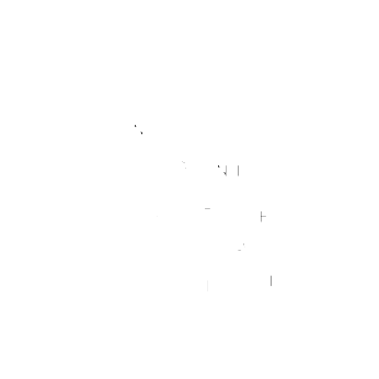 CN1CCCC1=N.F[B-](F)(F)F